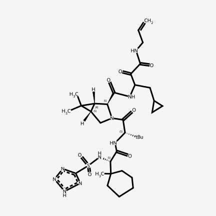 C=CCNC(=O)C(=O)C(CC1CC1)NC(=O)[C@@H]1[C@@H]2[C@H](CN1C(=O)[C@@H](NC(=O)[C@@H](NS(=O)(=O)c1nn[nH]n1)C1(C)CCCCC1)C(C)(C)C)C2(C)C